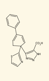 O=C(O)c1[nH]nnc1C1(c2nccs2)C=CC(c2ccccc2)=CC1